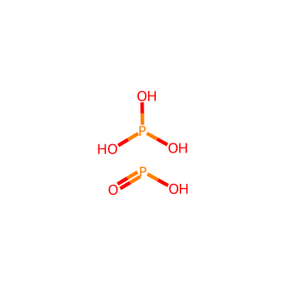 O=PO.OP(O)O